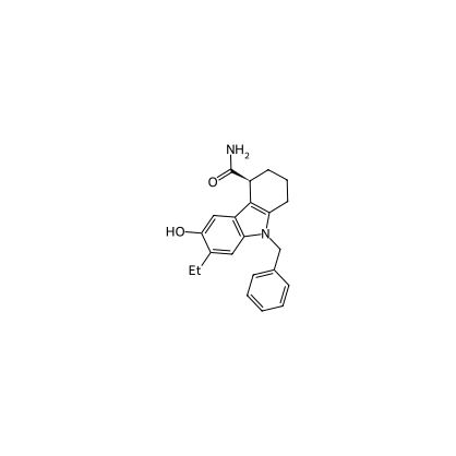 CCc1cc2c(cc1O)c1c(n2Cc2ccccc2)CCC[C@@H]1C(N)=O